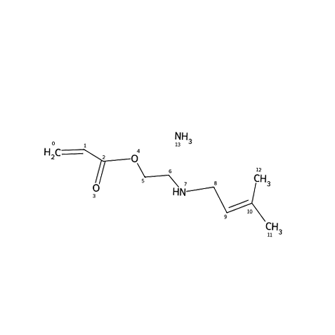 C=CC(=O)OCCNCC=C(C)C.N